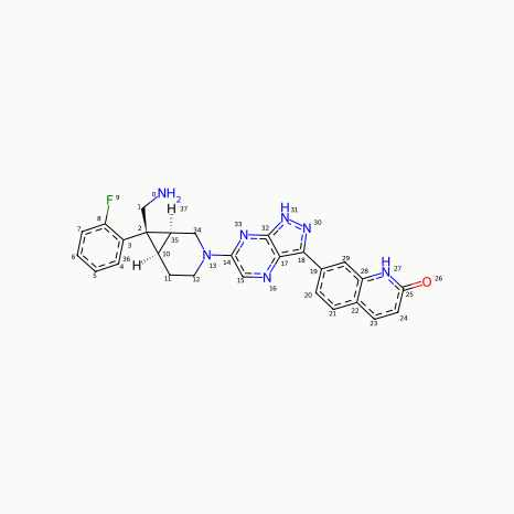 NC[C@]1(c2ccccc2F)[C@@H]2CCN(c3cnc4c(-c5ccc6ccc(=O)[nH]c6c5)n[nH]c4n3)C[C@@H]21